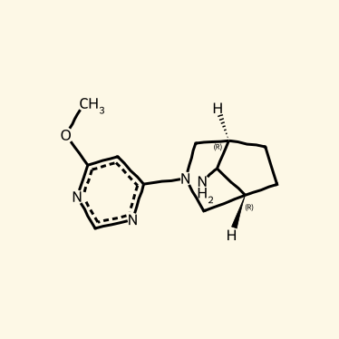 COc1cc(N2C[C@H]3CC[C@H](C2)C3N)ncn1